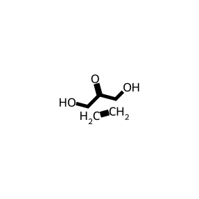 C=C.O=C(CO)CO